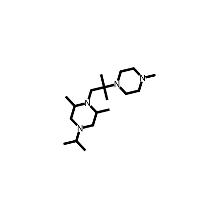 CC(C)N1CC(C)N(CC(C)(C)N2CCN(C)CC2)C(C)C1